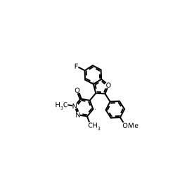 COc1ccc(-c2oc3ccc(F)cc3c2-c2[c]c(C)nn(C)c2=O)cc1